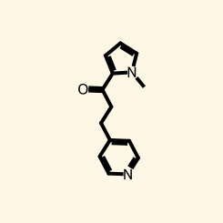 Cn1cccc1C(=O)CCc1ccncc1